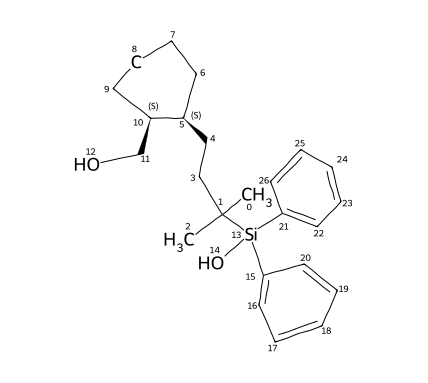 CC(C)(CC[C@@H]1CCCC[C@@H]1CO)[Si](O)(c1ccccc1)c1ccccc1